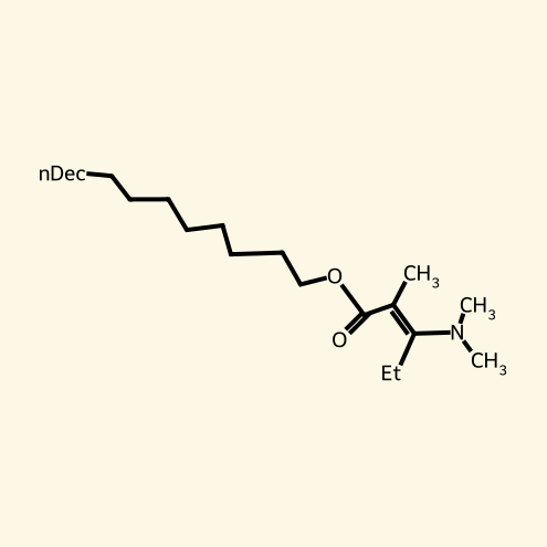 CCCCCCCCCCCCCCCCCCOC(=O)/C(C)=C(\CC)N(C)C